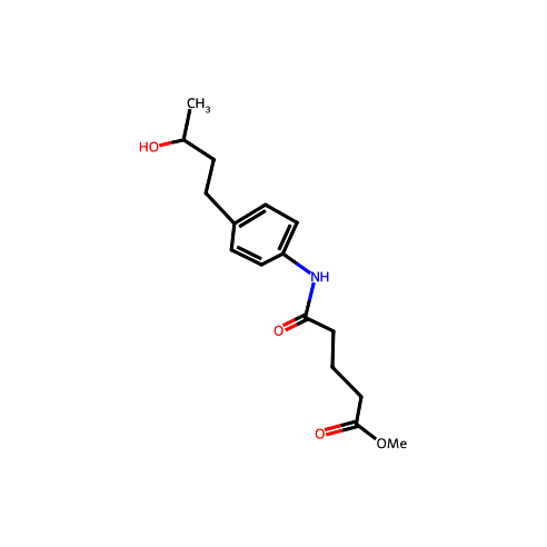 COC(=O)CCCC(=O)Nc1ccc(CCC(C)O)cc1